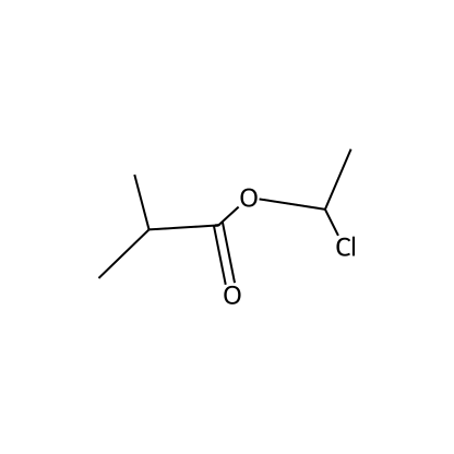 CC(Cl)OC(=O)C(C)C